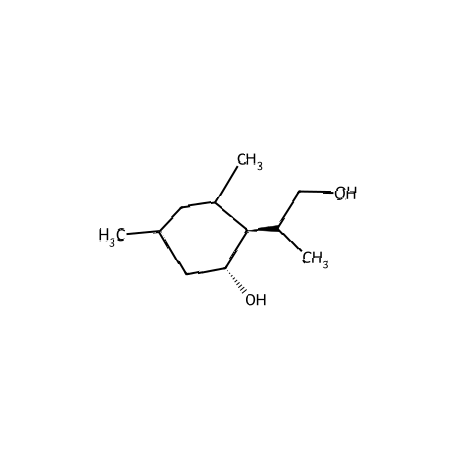 CC1CC(C)[C@@H](C(C)CO)[C@H](O)C1